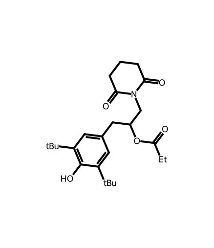 CCC(=O)OC(Cc1cc(C(C)(C)C)c(O)c(C(C)(C)C)c1)CN1C(=O)CCCC1=O